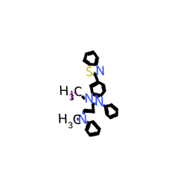 CC[n+]1c(C=CN(C)c2ccccc2)n(-c2ccccc2)c2ccc(-c3nc4ccccc4s3)cc21.[I-]